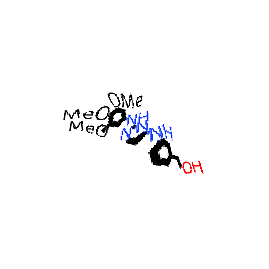 COc1cc(Nc2nccc(Nc3cccc(CCO)c3)n2)cc(OC)c1OC